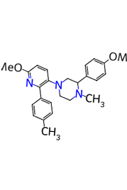 COc1ccc(C2CN(c3ccc(OC)nc3-c3ccc(C)cc3)CCN2C)cc1